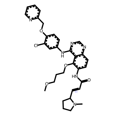 COCCCOc1c(NC(=O)/C=C/C2CCCN2C)ccc2ncnc(Nc3ccc(OCc4ccccn4)c(Cl)c3)c12